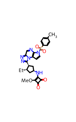 CC[C@@H]1C[C@H](Nc2c(OC)c(=O)c2=O)C[C@@H]1c1nnc2cnc3c(ccn3S(=O)(=O)c3ccc(C)cc3)n12